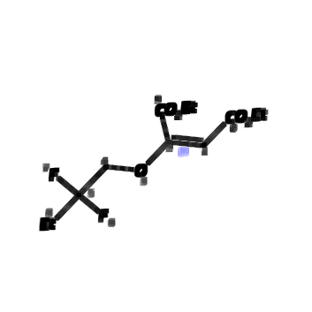 CCOC(=O)/C=C(/OCC(F)(F)CC)C(=O)OCC